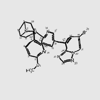 COc1ccc(CN2C3CC2CN(c2ccc(-c4cc(Br)cn5ncnc45)cn2)C3)cn1